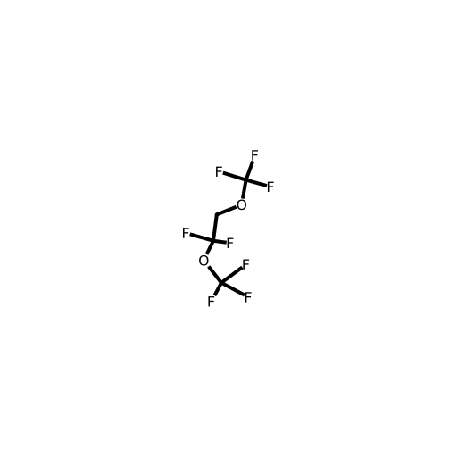 FC(F)(F)OCC(F)(F)OC(F)(F)F